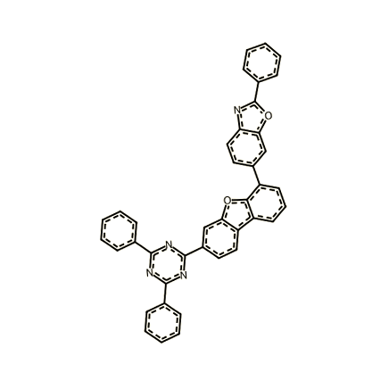 c1ccc(-c2nc(-c3ccccc3)nc(-c3ccc4c(c3)oc3c(-c5ccc6nc(-c7ccccc7)oc6c5)cccc34)n2)cc1